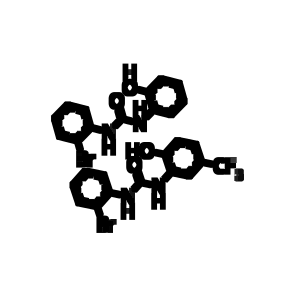 O=C(Nc1cc(C(F)(F)F)ccc1O)Nc1ccccc1Br.O=C(Nc1ccccc1O)Nc1ccccc1Br